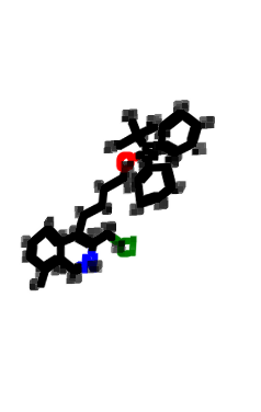 Cc1cccc2c(CCCCO[Si](c3ccccc3)(c3ccccc3)C(C)(C)C)c(CCl)ncc12